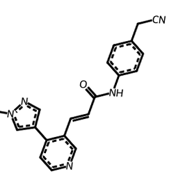 Cn1cc(-c2ccncc2C=CC(=O)Nc2ccc(CC#N)cc2)cn1